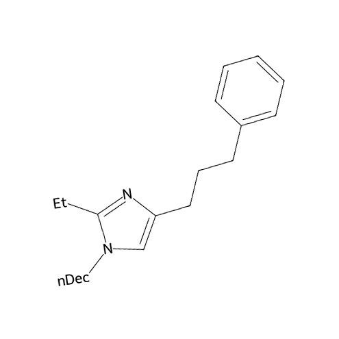 CCCCCCCCCCn1cc(CCCc2ccccc2)nc1CC